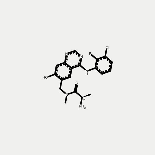 C[C@@H](N)C(=O)N(C)Cc1cc2c(Nc3cccc(Cl)c3F)ncnc2cc1O